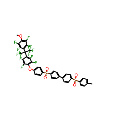 COc1c(F)c(F)c(C(c2c(F)c(F)c(Oc3ccc(S(=O)(=O)c4ccc(-c5ccc(S(=O)(=O)c6ccc(C)cc6)cc5)cc4)cc3)c(F)c2F)(C(F)(F)F)C(F)(F)F)c(F)c1F